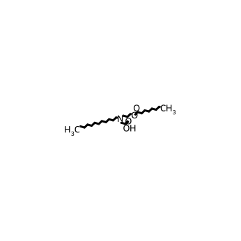 CCCCCCCCCCCCN(CCCOC(=O)CCCCCCC)CC(=O)O